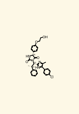 Cc1nc([C@H]([C@@H](C)c2ccccc2)N2C(=O)N[C@H](c3ccc(OCCO)cc3)C2=O)[nH]c1-c1ccc(Cl)cc1